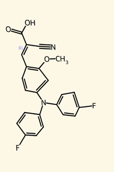 COc1cc(N(c2ccc(F)cc2)c2ccc(F)cc2)ccc1/C=C(\C#N)C(=O)O